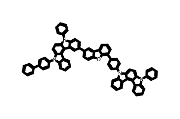 c1ccc(-c2ccc(-n3c4ccccc4c4c5c6cc(-c7ccc8oc9c(-c%10ccc(-n%11c%12ccccc%12c%12c%13c%14ccccc%14n(-c%14ccccc%14)c%13ccc%12%11)cc%10)cccc9c8c7)ccc6n(-c6ccccc6)c5ccc43)cc2)cc1